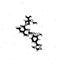 CCOC1(C(C)C)CN(c2nc(C)cc3cnc(Nc4ccc(-c5nncn5C)cc4OC)nc23)C1